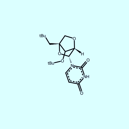 CC(C)(C)C[C@@]12CO[C@@H](C1OC(C)(C)C)[C@H](n1ccc(=O)[nH]c1=O)O2